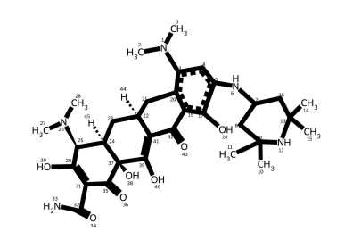 CN(C)c1cc(NC2CC(C)(C)NC(C)(C)C2)c(O)c2c1C[C@@H]1C[C@@H]3[C@H](N(C)C)C(O)=C(C(N)=O)C(=O)[C@@]3(O)C(O)=C1C2=O